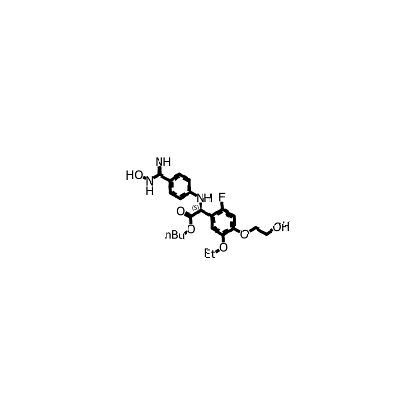 CCCCOC(=O)[C@@H](Nc1ccc(C(=N)NO)cc1)c1cc(OCC)c(OCCO)cc1F